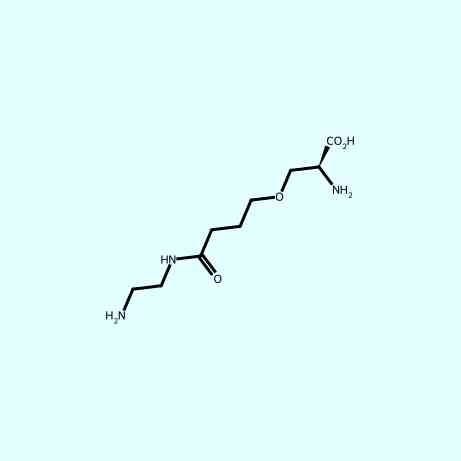 NCCNC(=O)CCCOC[C@H](N)C(=O)O